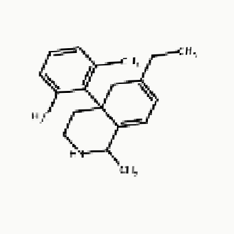 CCC1=CC=C2C(C)NCCC2(c2c(C)cccc2C)C1